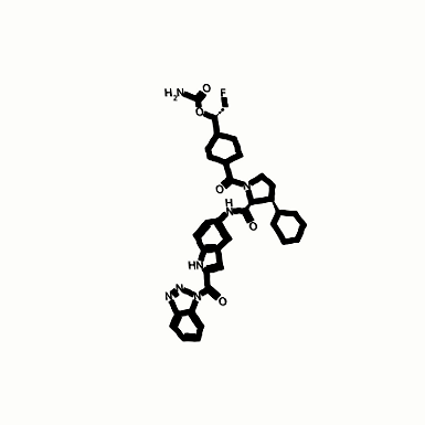 NC(=O)O[C@H](CF)C1CCC(C(=O)N2CC[C@@H](C3CCCCC3)[C@H]2C(=O)Nc2ccc3[nH]c(C(=O)n4nnc5ccccc54)cc3c2)CC1